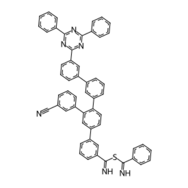 N#Cc1cccc(-c2cc(-c3cccc(C(=N)SC(=N)c4ccccc4)c3)ccc2-c2cccc(-c3cccc(-c4nc(-c5ccccc5)nc(-c5ccccc5)n4)c3)c2)c1